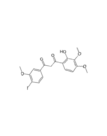 COc1cc(C(=O)CC(=O)c2ccc(OC)c(OC)c2O)ccc1I